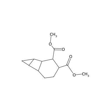 COC(=O)C1CCC2C3CC3C2C1C(=O)OC